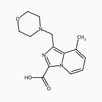 Cc1cccn2c(C(=O)O)nc(CN3CCOCC3)c12